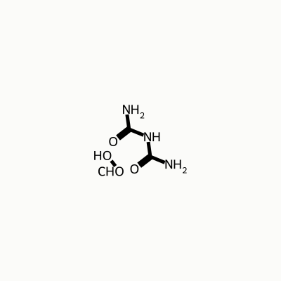 NC(=O)NC(N)=O.O=CO